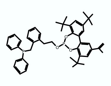 C=C(C)c1cc(C(C)(C)C)c2op(OCCc3ccccc3CP(c3ccccc3)c3ccccc3)oc3c(C(C)(C)C)cc(C(C)(C)C)cc3c2c1